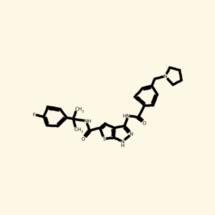 CC(C)(NC(=O)c1cc2c(NC(=O)c3ccc(CN4CCCC4)cc3)n[nH]c2s1)c1ccc(F)cc1